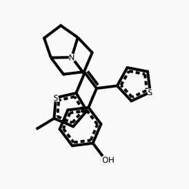 Cc1ccc(CN2C3CCC2CC(=C(c2ccsc2)c2cccc(O)c2)C3)s1